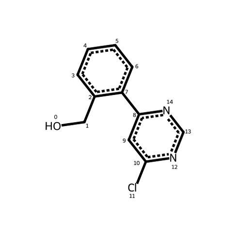 OCc1ccccc1-c1cc(Cl)ncn1